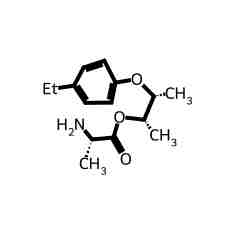 CCc1ccc(O[C@H](C)[C@H](C)OC(=O)[C@H](C)N)cc1